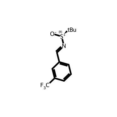 CC(C)(C)[S@+]([O-])N=Cc1cccc(C(F)(F)F)c1